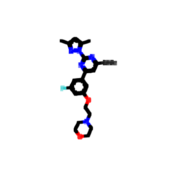 CC(=O)Nc1cc(-c2cc(F)cc(OCCN3CCOCC3)c2)nc(-n2nc(C)cc2C)n1